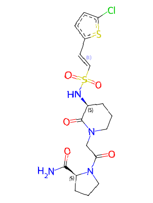 NC(=O)[C@@H]1CCCN1C(=O)CN1CCC[C@H](NS(=O)(=O)/C=C/c2ccc(Cl)s2)C1=O